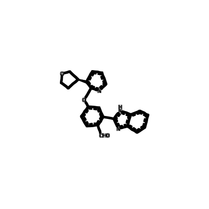 O=Cc1ccc(Oc2ncccc2[C@H]2CCOC2)cc1-c1nc2ccccc2[nH]1